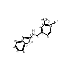 Fc1ccc(CNc2cc3ccccc3s2)cc1C(F)(F)F